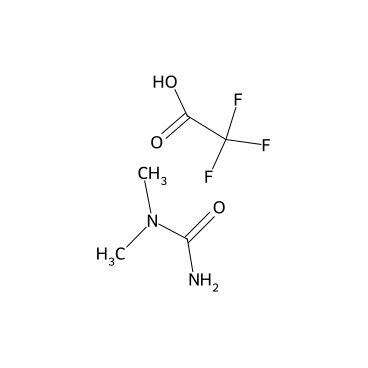 CN(C)C(N)=O.O=C(O)C(F)(F)F